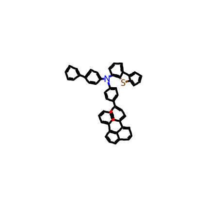 c1ccc(-c2ccc(N(c3ccc(-c4ccc(-c5cccc6cccc(-c7ccccc7)c56)cc4)cc3)c3cccc4c3sc3ccccc34)cc2)cc1